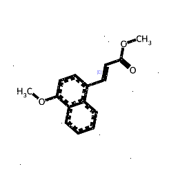 COC(=O)/C=C/c1ccc(OC)c2ccccc12